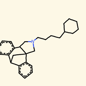 c1ccc2c(c1)C1CC3(CN(CCCCC4CCCCC4)CC23)c2ccccc21